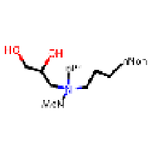 CCCCCCCCCCCC[N+](CCC)(CC(O)CO)NC